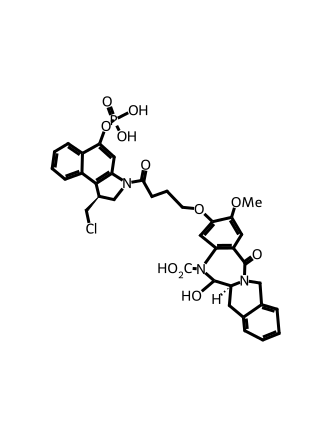 COc1cc2c(cc1OCCCC(=O)N1C[C@@H](CCl)c3c1cc(OP(=O)(O)O)c1ccccc31)N(C(=O)O)C(O)[C@@H]1Cc3ccccc3CN1C2=O